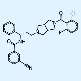 N#Cc1cccc(C(=O)N[C@@H](CCN2CC3CN(C(=O)c4c(F)cccc4Cl)CC3C2)c2ccccc2)c1